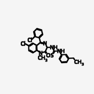 CCc1cccc(NC(=S)NC2N=C(c3ccccc3Cl)c3cc(Cl)ccc3N(C)C2=O)c1